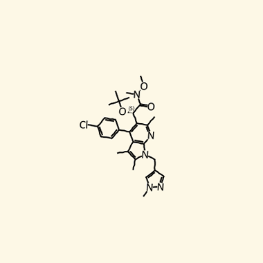 CON(C)C(=O)[C@@H](OC(C)(C)C)c1c(C)nc2c(c(C)c(C)n2Cc2cnn(C)c2)c1-c1ccc(Cl)cc1